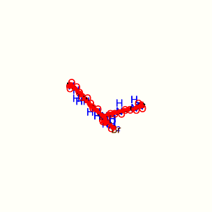 NC(=O)C(CCCCNC(=O)CBr)NC(=O)C(CCCCNC(=O)CCOCCOCCNC(=O)CCOCCOCCNC(=O)CCN1C(=O)C=CC1=O)NC(=O)CCOCCOCCNC(=O)CCOCCOCCNC(=O)CCN1C(=O)C=CC1=O